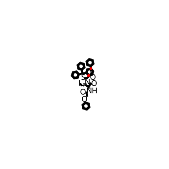 O=C(COc1ccccc1)N[C@@H]1C(=O)N(C(SC(c2ccccc2)(c2ccccc2)c2ccccc2)C(=O)OCc2ccccc2)[C@@H]1CI